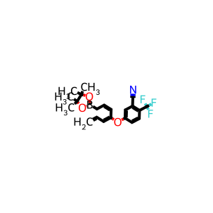 C=C/C=C(\C=C/CB1OC(C)(C)C(C)(C)O1)Oc1ccc(C(F)(F)F)c(C#N)c1